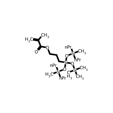 C=C(C)C(=O)OCCC[Si](O[Si](C)(C)C)(O[Si](C)(CCC)CCC)O[Si](C)(CCC)CCC